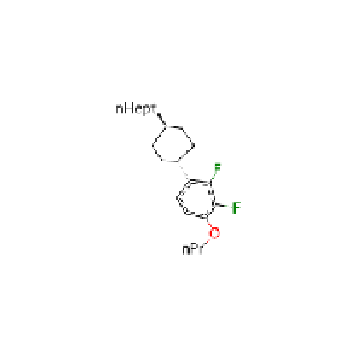 CCCCCCC[C@H]1CC[C@H](c2ccc(OCCC)c(F)c2F)CC1